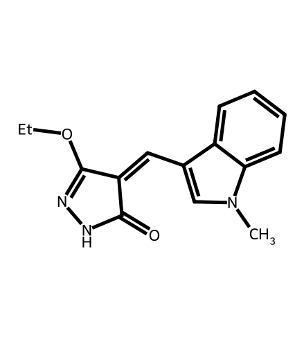 CCOC1=NNC(=O)/C1=C\c1cn(C)c2ccccc12